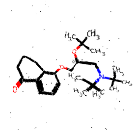 CC(C)(C)O[C@H](COc1cccc2c1CCCC2=O)CN(C(C)(C)C)C(C)(C)C